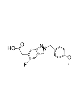 COc1ccc(Cn2cc3cc(F)c(CC(=O)O)cc3n2)cc1